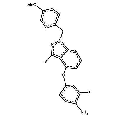 COc1ccc(Cn2nc(C)c3c(Oc4ccc(N)c(F)c4)ccnc32)cc1